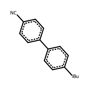 CCC(C)c1ccc(-c2ccc(C#N)cc2)cc1